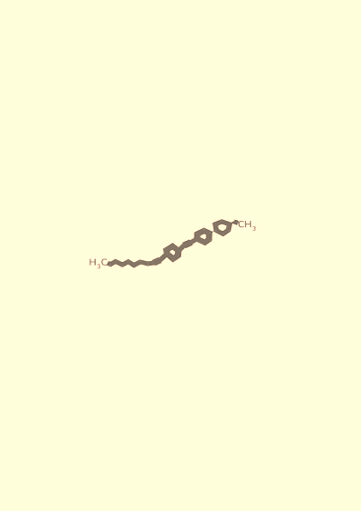 CCCCCCCCC#Cc1ccc(C#Cc2ccc([C@H]3CC[C@H](CC)CC3)cc2)cc1